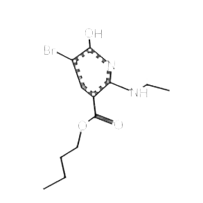 CCCCOC(=O)c1cc(Br)c(O)nc1NCC